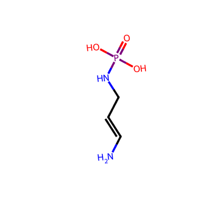 NC=CCNP(=O)(O)O